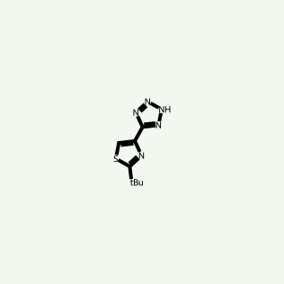 CC(C)(C)c1nc(-c2nn[nH]n2)cs1